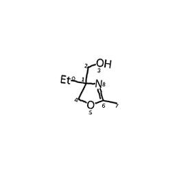 CCC1(CO)COC(C)=N1